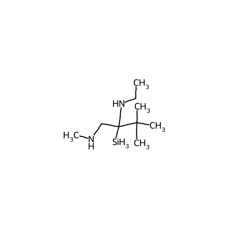 CCNC([SiH3])(CNC)C(C)(C)C